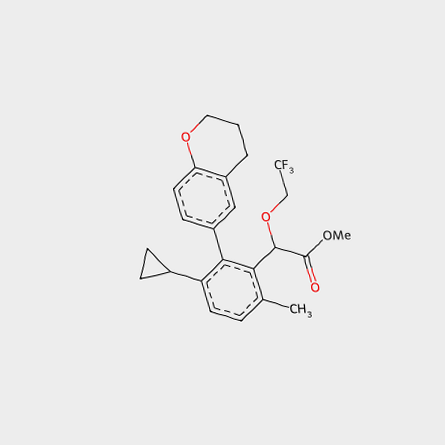 COC(=O)C(OCC(F)(F)F)c1c(C)ccc(C2CC2)c1-c1ccc2c(c1)CCCO2